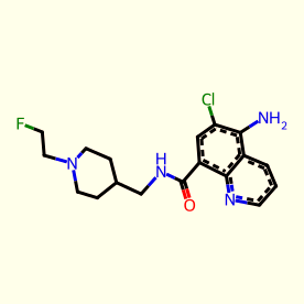 Nc1c(Cl)cc(C(=O)NCC2CCN(CCF)CC2)c2ncccc12